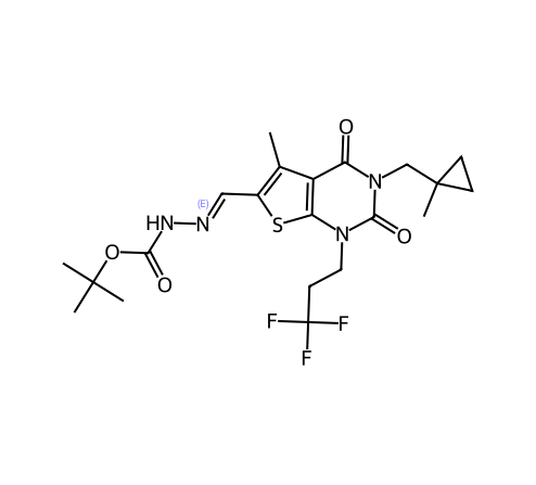 Cc1c(/C=N/NC(=O)OC(C)(C)C)sc2c1c(=O)n(CC1(C)CC1)c(=O)n2CCC(F)(F)F